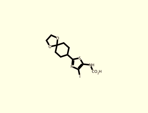 O=C(O)Nc1sc(C2CCC3(CC2)OCCO3)nc1I